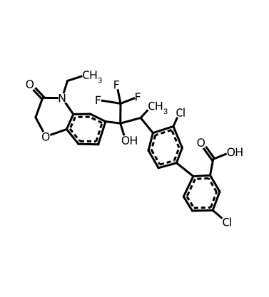 CCN1C(=O)COc2ccc(C(O)(C(C)c3ccc(-c4ccc(Cl)cc4C(=O)O)cc3Cl)C(F)(F)F)cc21